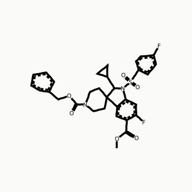 COC(=O)c1cc2c(cc1F)N(S(=O)(=O)c1ccc(F)cc1)C(C1CC1)C21CCN(C(=O)OCc2ccccc2)CC1